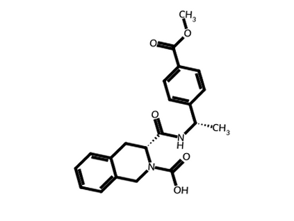 COC(=O)c1ccc([C@H](C)NC(=O)[C@H]2Cc3ccccc3CN2C(=O)O)cc1